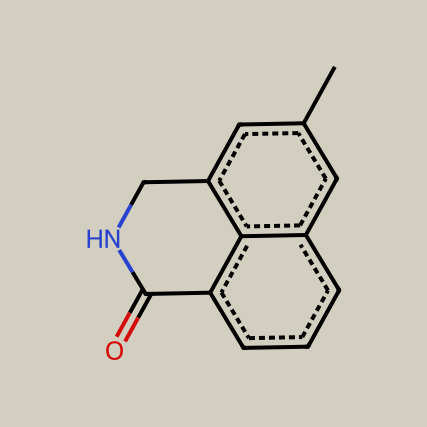 Cc1cc2c3c(cccc3c1)C(=O)NC2